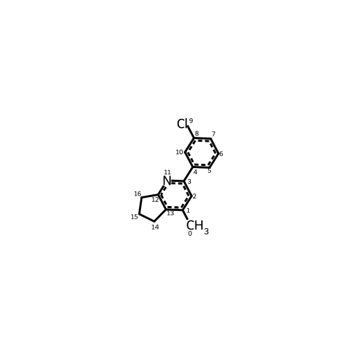 Cc1cc(-c2cccc(Cl)c2)nc2c1CCC2